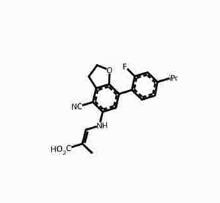 CC(=CNc1cc(-c2ccc(C(C)C)cc2F)c2c(c1C#N)CCO2)C(=O)O